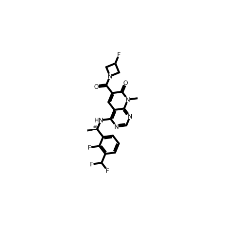 C[C@@H](Nc1ncnc2c1cc(C(=O)N1CC(F)C1)c(=O)n2C)c1cccc(C(F)F)c1F